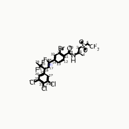 C[C@H](CS(=O)(=O)CC(F)(F)F)NC(=O)c1ccc(/C(F)=C/C(c2cc(Cl)c(Cl)c(Cl)c2)C(C)(F)F)cc1Br